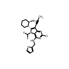 CC#Cc1c([C@@H]2CCCC[C@H]2N)n(C(F)F)c2c(NCc3ccco3)nc(Cl)nc12